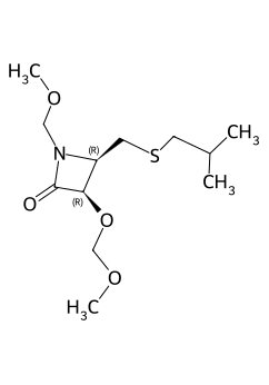 COCO[C@H]1C(=O)N(COC)[C@H]1CSCC(C)C